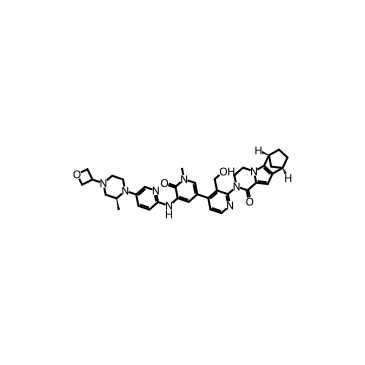 C[C@H]1CN(C2COC2)CCN1c1ccc(Nc2cc(-c3ccnc(N4CCn5c(cc6c5[C@@H]5CC[C@H]6C5)C4=O)c3CO)cn(C)c2=O)nc1